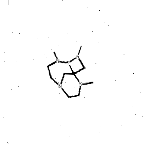 CN1CCN2CCN(C)C3(C2)CN(C)P13